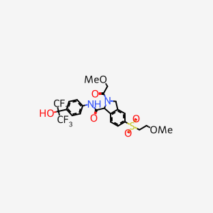 COCCS(=O)(=O)c1ccc2c(c1)CN(C(=O)COC)C2C(=O)Nc1ccc(C(O)(C(F)(F)F)C(F)(F)F)cc1